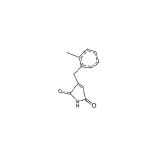 Cc1ccccc1CC1=CC(=O)NC1=O